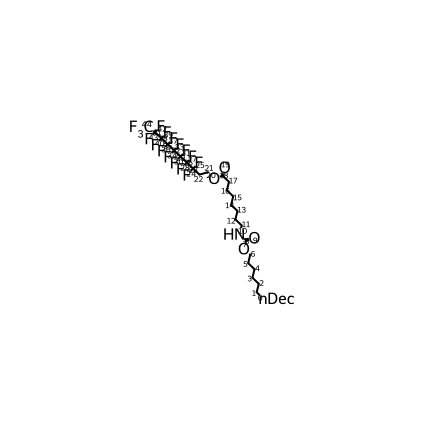 CCCCCCCCCCCCCCCCOC(=O)NCCCCCCCC(=O)OCCC(F)(F)C(F)(F)C(F)(F)C(F)(F)C(F)(F)C(F)(F)C(F)(F)C(F)(F)F